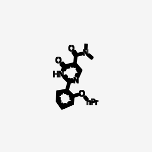 CCCOc1ccccc1-c1ncc(C(=O)N(C)C)c(=O)[nH]1